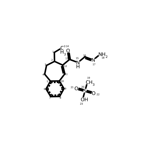 CCC1CCc2ccccc2C=C1C(=O)NC=NN.CS(=O)(=O)O